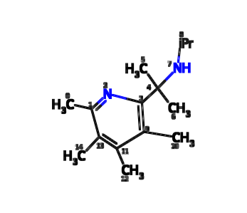 Cc1nc(C(C)(C)NC(C)C)c(C)c(C)c1C